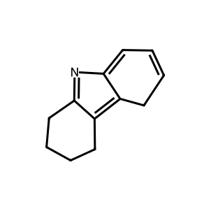 C1=CCC2=C3CCCCC3=NC2=C1